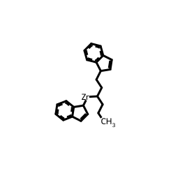 CCC[CH](CCC1C=Cc2ccccc21)[Zr][CH]1C=Cc2ccccc21